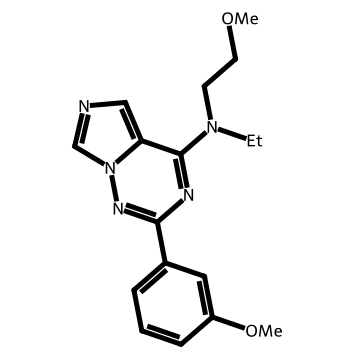 CCN(CCOC)c1nc(-c2cccc(OC)c2)nn2cncc12